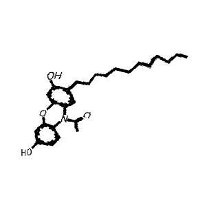 CCCCCCCCCCCCc1cc2c(cc1O)Oc1cc(O)ccc1N2C(C)=O